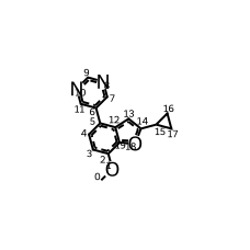 COc1ccc(-c2cncnc2)c2cc(C3CC3)oc12